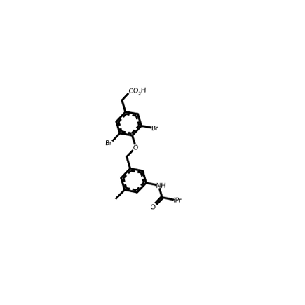 Cc1cc(COc2c(Br)cc(CC(=O)O)cc2Br)cc(NC(=O)C(C)C)c1